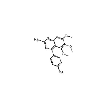 COc1cc2nc(N)nc(-c3ccc(O)cc3)c2c(OC)c1OC